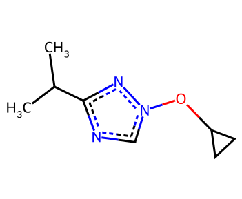 CC(C)c1ncn(OC2CC2)n1